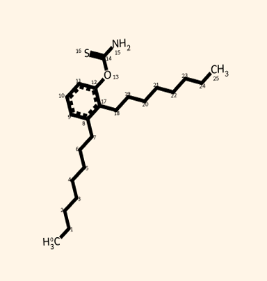 CCCCCCCCc1cccc(OC(N)=S)c1CCCCCCCC